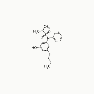 CCCOc1cc(O)cc(N(c2cccnc2)S(=O)(=O)C(C)C)c1